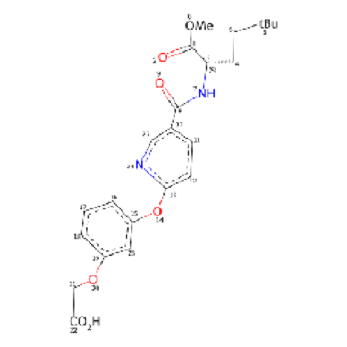 COC(=O)[C@H](CCC(C)(C)C)NC(=O)c1ccc(Oc2cccc(OCC(=O)O)c2)nc1